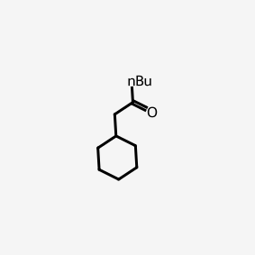 [CH2]CCCC(=O)CC1CCCCC1